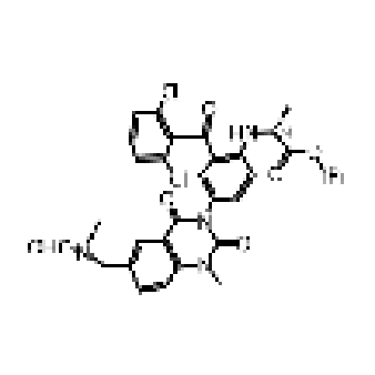 CC(C)OC(=O)[C@H](C)Nc1ccc(-n2c(=O)c3cc(CN(C)C=O)ccc3n(C)c2=O)cc1C(=O)c1c(Cl)cccc1Cl